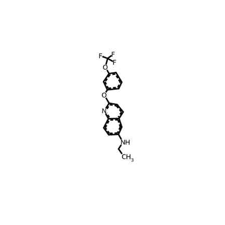 CCNc1ccc2nc(Oc3cccc(OC(F)(F)F)c3)ccc2c1